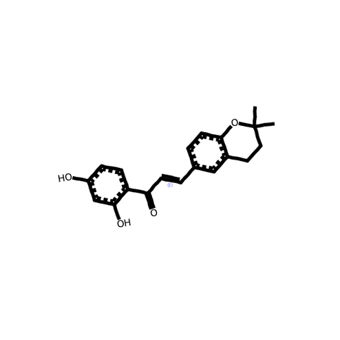 CC1(C)CCc2cc(/C=C/C(=O)c3ccc(O)cc3O)ccc2O1